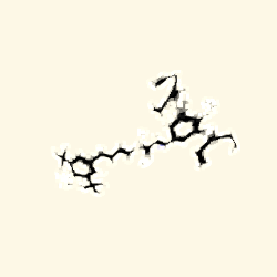 CCC(CC)Oc1cc(/C=C/C(=O)NCCCCc2cc(C(C)(C)C)c(O)c(C(C)(C)C)c2)cc(OC(CC)CC)c1O